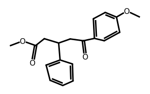 COC(=O)CC(CC(=O)c1ccc(OC)cc1)c1ccccc1